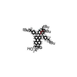 CC(C)(C)CC(C)(C)c1ccc(N(c2ccc(C(C)(C)CC(C)(C)C)cc2)c2cc3c(N(c4ccc(C(C)(C)CC(C)(C)C)cc4)c4ccc(C(C)(C)CC(C)(C)C)cc4)ccc4c5ccc6c7c(ccc(c(c2)c34)c75)C(=O)N(CC(=O)O)C6=O)cc1